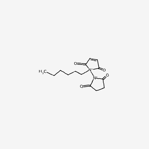 CCCCCC[N+]1([N+]2C(=O)CCC2=O)C(=O)C=CC1=O